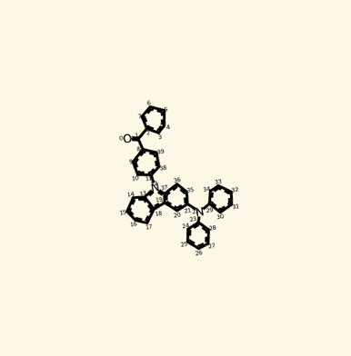 O=C(c1ccccc1)c1ccc(-n2c3ccccc3c3cc(N(c4ccccc4)c4ccccc4)ccc32)cc1